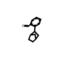 O=Cc1ccccc1C1CC2CCC1C2